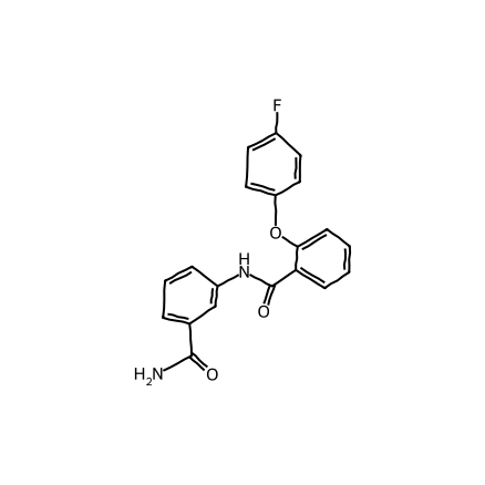 NC(=O)c1cccc(NC(=O)c2ccccc2Oc2ccc(F)cc2)c1